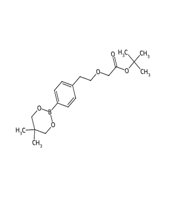 CC1(C)COB(c2ccc(CCOCC(=O)OC(C)(C)C)cc2)OC1